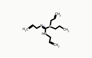 C=CC/N=C(\NCC=C)N([CH]CC)CC=C